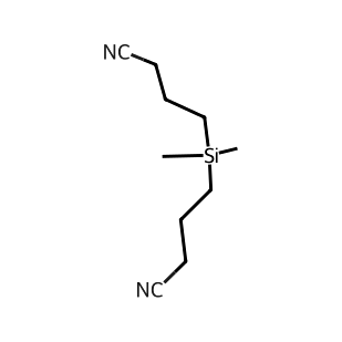 C[Si](C)(CCCC#N)CCCC#N